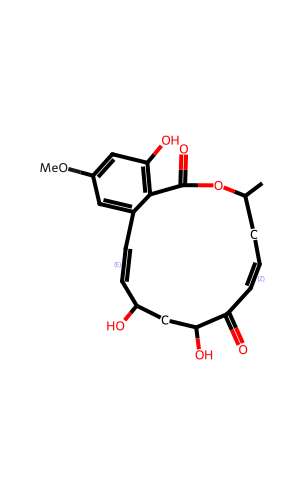 COc1cc(O)c2c(c1)/C=C/C(O)CC(O)C(=O)/C=C\CC(C)OC2=O